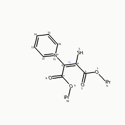 CC(C)OC(=O)/C(S)=C(\C(=O)OC(C)C)[n+]1ccccc1